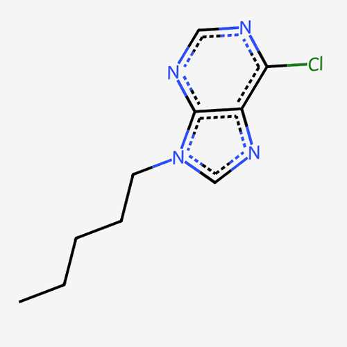 CCCCCn1cnc2c(Cl)ncnc21